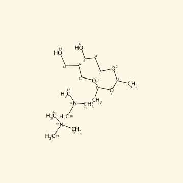 CC(OCCCO)OC(C)OCCCO.CN(C)C.CN(C)C